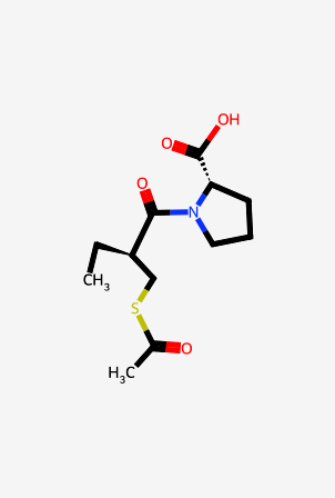 CC[C@H](CSC(C)=O)C(=O)N1CCC[C@H]1C(=O)O